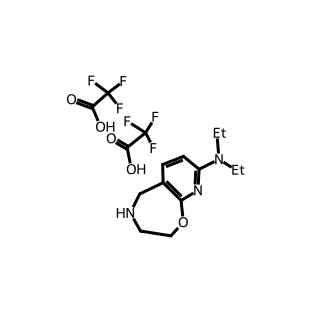 CCN(CC)c1ccc2c(n1)OCCNC2.O=C(O)C(F)(F)F.O=C(O)C(F)(F)F